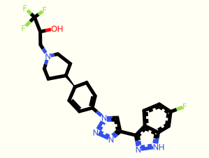 OC(CN1CCC([C@@H]2C=CC(n3cc(-c4n[nH]c5cc(F)ccc45)nn3)=CC2)CC1)C(F)(F)F